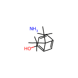 CC(C)(C)C1(C(C)(C)C)c2ccc(O)c1c2.N